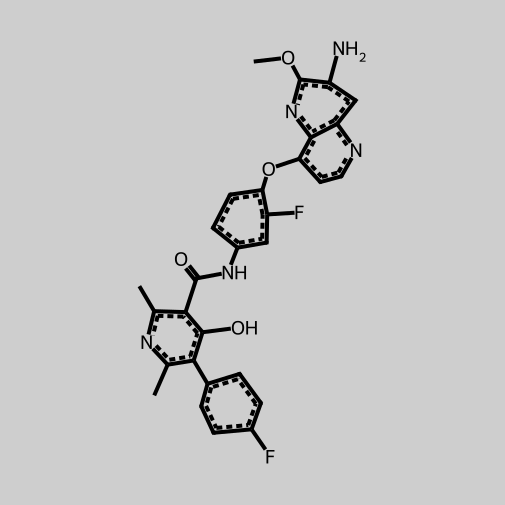 COc1nc2c(Oc3ccc(NC(=O)c4c(C)nc(C)c(-c5ccc(F)cc5)c4O)cc3F)ccnc2cc1N